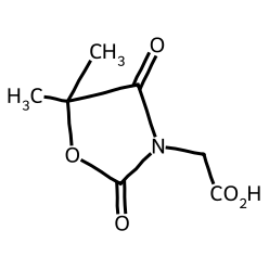 CC1(C)OC(=O)N(CC(=O)O)C1=O